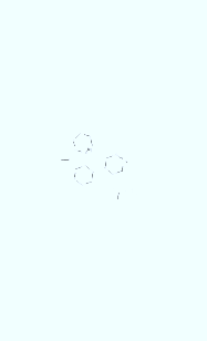 Cc1nc(C)c(OC(=O)OC(C)(C)C)c(-c2cccc3c2-c2ccccc2C3=O)c1C#N